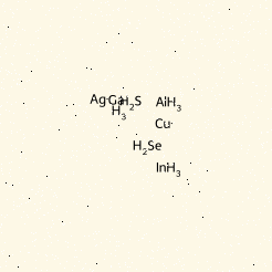 S.[Ag].[AlH3].[Cu].[GaH3].[InH3].[SeH2]